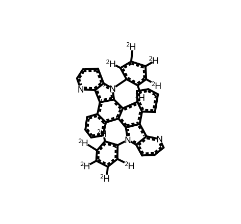 [2H]c1c([2H])c([2H])c(-n2c3cccnc3c3c4ccccc4c4c(c5ccccc5c5c6ncccc6n(-c6c([2H])c([2H])c([2H])c([2H])c6[2H])c54)c32)c([2H])c1[2H]